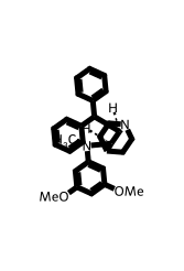 COc1cc(OC)cc(N(C)[C@@H]2C3CCN(CC3)[C@@H]2C(c2ccccc2)c2ccccc2)c1